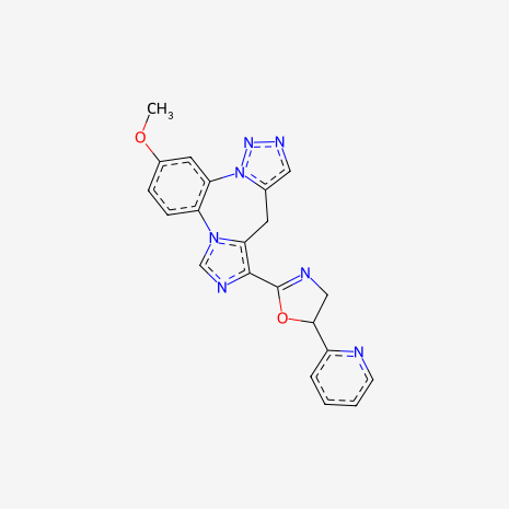 COc1ccc2c(c1)-n1nncc1Cc1c(C3=NCC(c4ccccn4)O3)ncn1-2